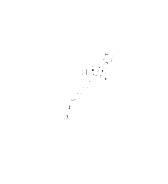 CCCCC#CC#C/C=C/CCCCCCC(O)C(=O)NCc1ccccc1